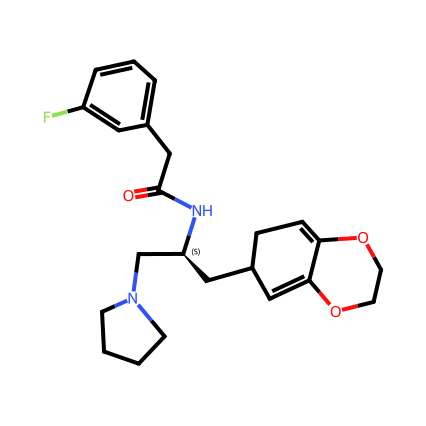 O=C(Cc1cccc(F)c1)N[C@@H](CC1C=C2OCCOC2=CC1)CN1CCCC1